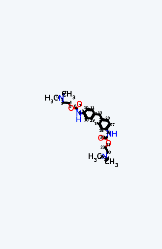 CN(C)CCOC(=O)Nc1ccc(Cc2ccc(NC(=O)OCCN(C)C)cc2)cc1